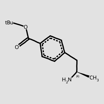 C[C@@H](N)Cc1ccc(C(=O)OC(C)(C)C)cc1